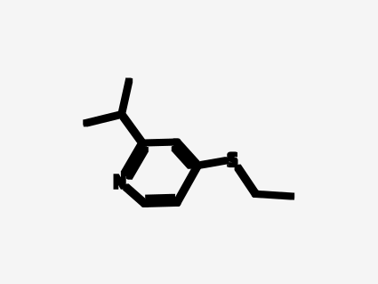 CCSc1ccnc(C(C)C)c1